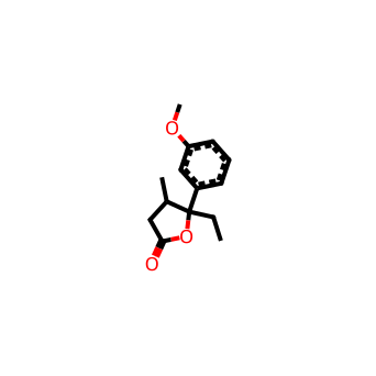 CCC1(c2cccc(OC)c2)OC(=O)CC1C